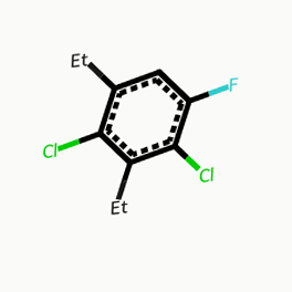 CCc1cc(F)c(Cl)c(CC)c1Cl